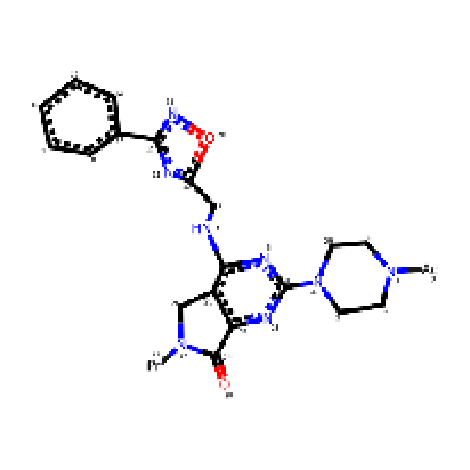 CC(=O)N1CCN(c2nc(NCc3nc(-c4ccccc4)no3)c3c(n2)C(=O)N(C(C)C)C3)CC1